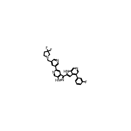 Fc1cccc(-c2cncc3[nH]c(-c4n[nH]c5cnc(-c6cncc(CN7CCC(F)(F)C7)c6)cc45)cc23)c1